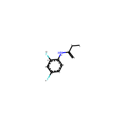 C=C(CC)Nc1ccc(F)cc1F